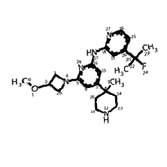 COC1CN(c2cc(C3(C)CCNCC3)cc(Nc3cc(C(C)(C)F)ccn3)n2)C1